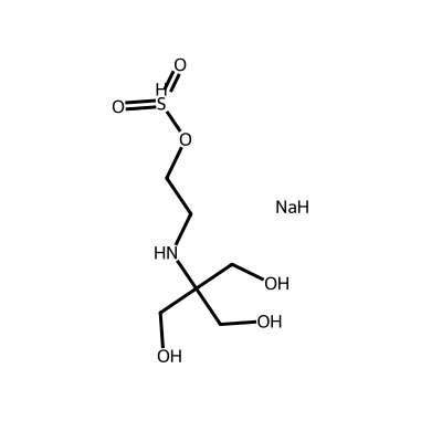 O=[SH](=O)OCCNC(CO)(CO)CO.[NaH]